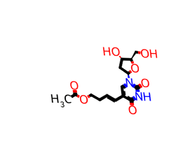 CC(=O)OCC/C=C/c1cn([C@H]2C[C@H](O)[C@@H](CO)O2)c(=O)[nH]c1=O